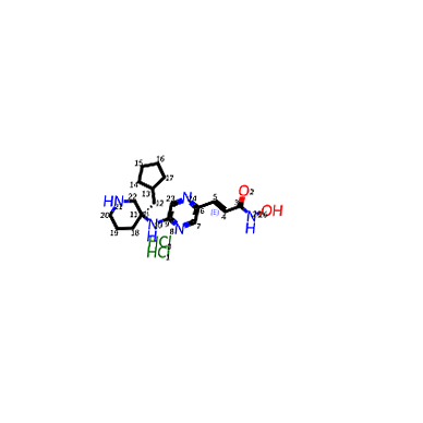 Cl.Cl.O=C(/C=C/c1cnc(N[C@@]2(CC3CCCC3)CCCNC2)cn1)NO